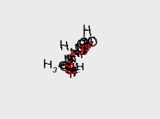 COc1cc2nn([C@H]3C[C@H](CN4CCC(c5c(F)ccc6c5n(C)c(=O)n6C5CCC(=O)NC5=O)CC4)C3)cc2cc1NC(=O)c1cccc(C(F)(F)F)n1